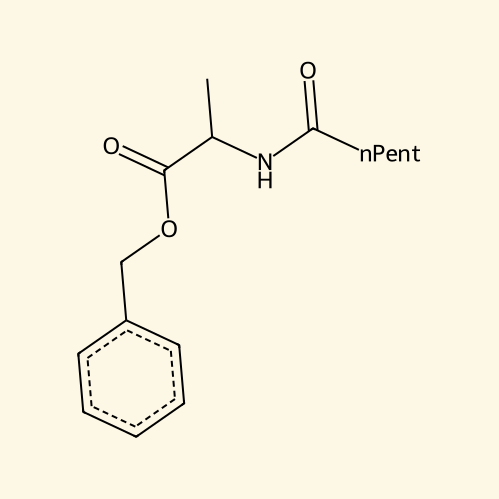 CCCCCC(=O)NC(C)C(=O)OCc1ccccc1